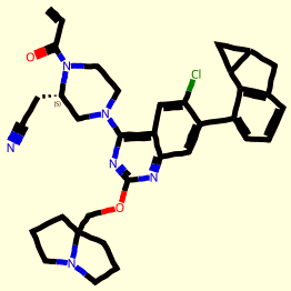 C=CC(=O)N1CCN(c2nc(OCC34CCCN3CCC4)nc3cc(-c4cccc5c4C4CC4C5)c(Cl)cc23)C[C@@H]1CC#N